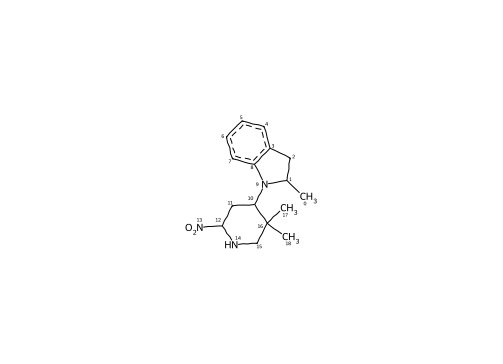 CC1Cc2ccccc2N1C1CC([N+](=O)[O-])NCC1(C)C